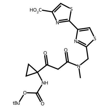 CN(Cc1nc(-c2nc(C(=O)O)cs2)cs1)C(=O)CC(=O)C1(NC(=O)OC(C)(C)C)CC1